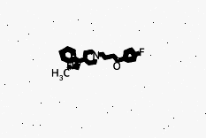 Cn1cc(C2CCN(CCCC(=O)c3ccc(F)cc3)CC2)c2ccccc21